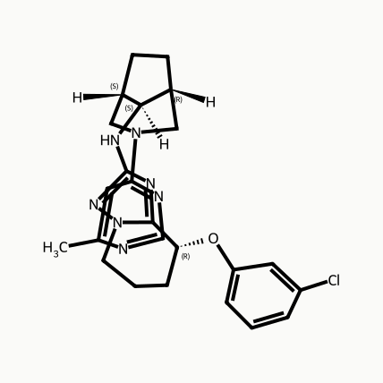 Cc1cc(N2C[C@H]3CC[C@@H](C2)[C@@H]3Nc2nc3n(n2)CCC[C@H]3Oc2cccc(Cl)c2)ncn1